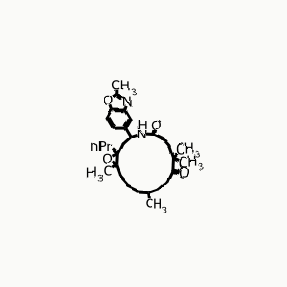 CCCC12CC(c3ccc4oc(C)nc4c3)NC(=O)CCC(C)(C)C(=O)CCC(C)CCCC1(C)O2